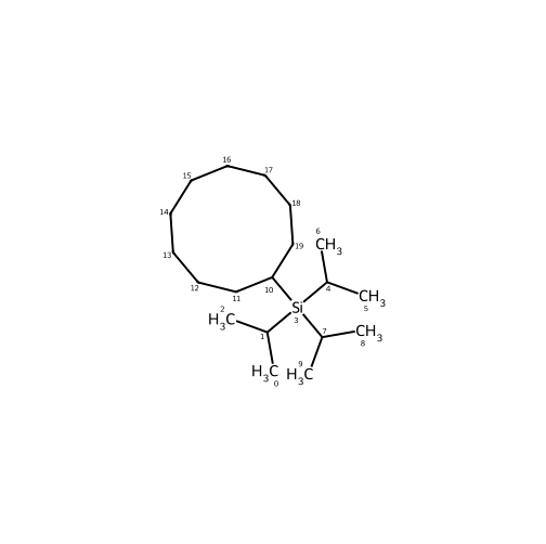 CC(C)[Si](C(C)C)(C(C)C)C1CCCCCCCCC1